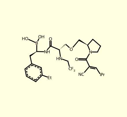 CCc1cccc(C[C@H](NC(=O)[C@H](COC[C@H]2CCCN2C(=O)C(C#N)=CC(C)C)NCC(F)(F)F)B(O)O)c1